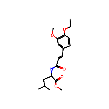 CCOc1ccc(/C=C/C(=O)NC(CC(C)C)C(=O)OC)cc1OC